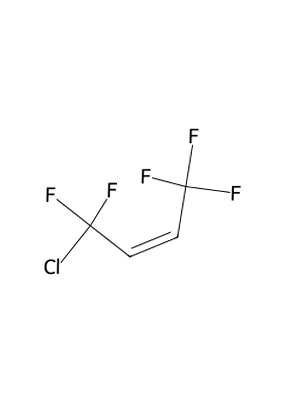 FC(F)(F)/C=C\C(F)(F)Cl